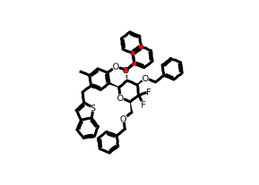 Cc1cc(OCc2ccccc2)c([C@@H]2O[C@H](COCc3ccccc3)C(F)(F)[C@H](OCc3ccccc3)[C@H]2OCc2ccccc2)cc1Cc1cc2ccccc2s1